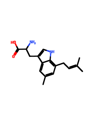 CC(C)=CCc1cc(C)cc2c(CC(N)C(=O)O)c[nH]c12